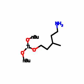 CCCC[O][Ti]([O]CCCC)[O]CCC(C)CCN